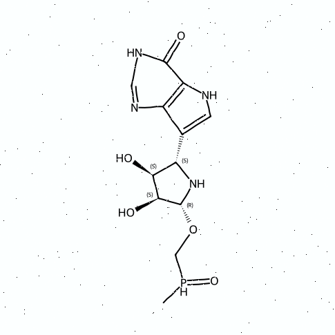 C[PH](=O)CO[C@H]1N[C@@H](c2c[nH]c3c(=O)[nH]cnc23)[C@H](O)[C@@H]1O